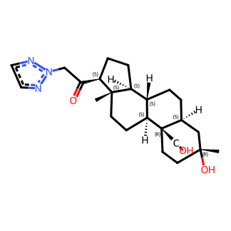 C[C@@]1(O)CC[C@@]2(CO)[C@@H](CC[C@H]3[C@@H]4CC[C@H](C(=O)Cn5nccn5)[C@@]4(C)CC[C@@H]32)C1